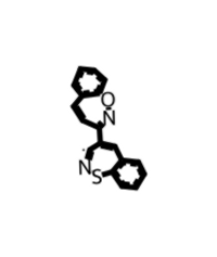 [C]1=NSc2ccccc2C=C1C1=NOc2ccccc2C=C1